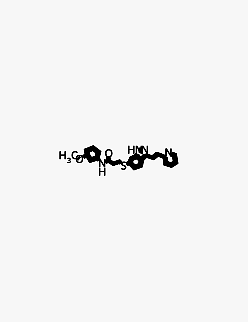 COc1cccc(NC(=O)CCSc2ccc3c(C=Cc4ccccn4)n[nH]c3c2)c1